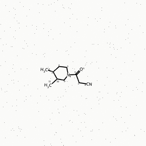 CC1CCN(C(=O)CC#N)CC1C